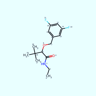 CCNC(=O)C(OCc1cc(F)cc(F)c1)C(C)(C)C